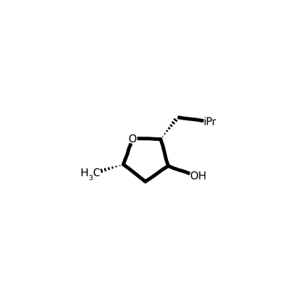 CC(C)C[C@H]1O[C@@H](C)CC1O